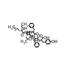 C=CN[C@@H](CCSC)C(=O)N[C@@H](CC(C)C)C(=O)N[C@@H](Cc1ccccc1)C(=O)NC(Cc1ccccc1)C(=O)NC(Cc1ccc(O)cc1)C(=O)O